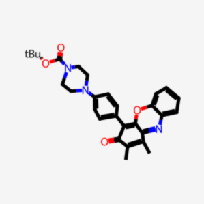 Cc1c2nc3ccccc3oc-2c(-c2ccc(N3CCN(C(=O)OC(C)(C)C)CC3)cc2)c(=O)c1C